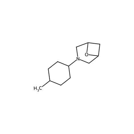 CC1CCC(N2CC3CC(C2)O3)CC1